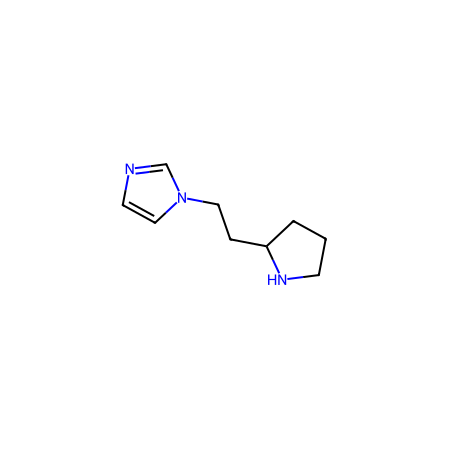 c1cn(CCC2CCCN2)cn1